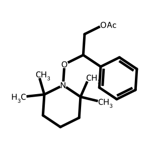 CC(=O)OCC(ON1C(C)(C)CCCC1(C)C)c1ccccc1